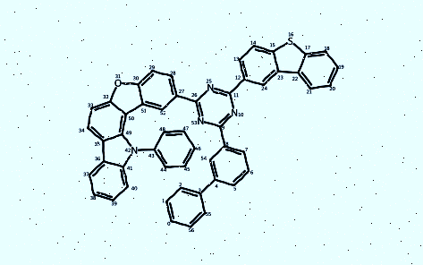 c1ccc(-c2cccc(-c3nc(-c4ccc5sc6ccccc6c5c4)nc(-c4ccc5oc6ccc7c8ccccc8n(-c8ccccc8)c7c6c5c4)n3)c2)cc1